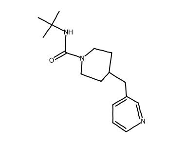 CC(C)(C)NC(=O)N1CCC(Cc2cccnc2)CC1